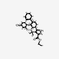 CCOC(=O)c1n[nH]c2c1C(C)(C)Oc1c-2ccc(-c2ccccc2)c1-c1ccc(Cl)cc1Cl